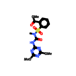 COC(=O)c1ccccc1S(=O)(=O)N(C)C(=O)Nc1nc(OC)nc(OC)n1